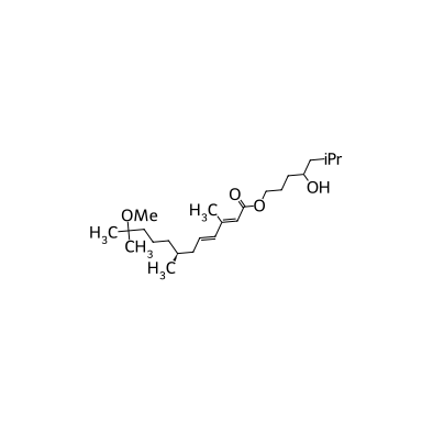 COC(C)(C)CCC[C@H](C)C/C=C/C(C)=C/C(=O)OCCCC(O)CC(C)C